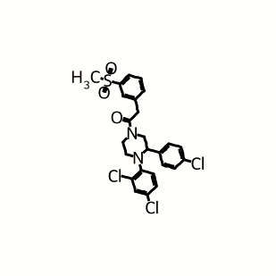 CS(=O)(=O)c1cccc(CC(=O)N2CCN(c3ccc(Cl)cc3Cl)C(c3ccc(Cl)cc3)C2)c1